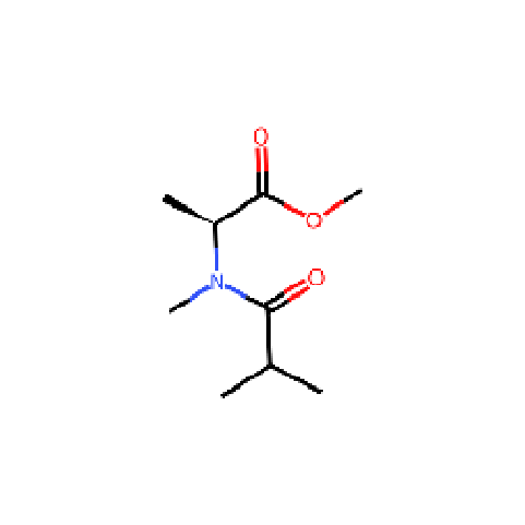 COC(=O)[C@H](C)N(C)C(=O)C(C)C